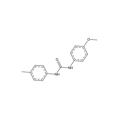 COc1ccc(NC(=O)Nc2ccc(C)cc2)cc1